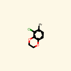 CC(C)c1ccc2c(c1Cl)OCCO2